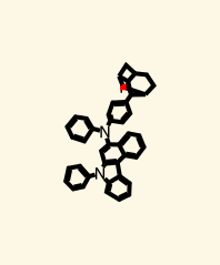 c1ccc(N(c2ccc(C3C4CCC5CC(C4)[C@H]53)cc2)c2cc3c(c4ccccc24)c2ccccc2n3-c2ccccc2)cc1